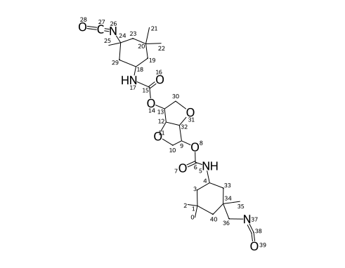 CC1(C)CC(NC(=O)OC2COC3C(OC(=O)NC4CC(C)(C)CC(C)(N=C=O)C4)COC23)CC(C)(CN=C=O)C1